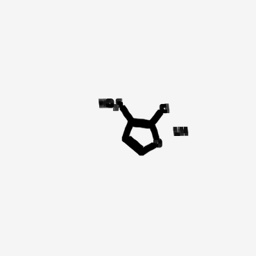 O=S(=O)(O)c1ccoc1Cl.[LiH]